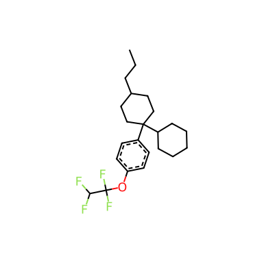 CCCC1CCC(c2ccc(OC(F)(F)C(F)F)cc2)(C2CCCCC2)CC1